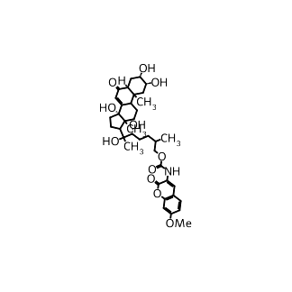 COc1ccc2cc(NC(=O)OCC(C)CC[C@@H](O)C(C)(O)C3CC[C@@]4(O)C5=CC(=O)[C@@H]6C[C@@H](O)[C@@H](O)CC6(C)C5CCC34C)c(=O)oc2c1